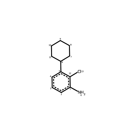 Nc1cccc(C2CCCCC2)c1Cl